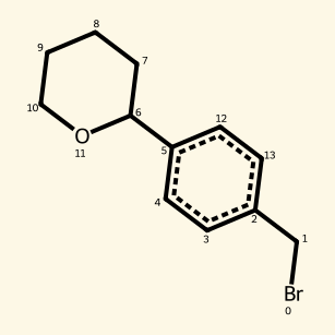 BrCc1ccc(C2CCCCO2)cc1